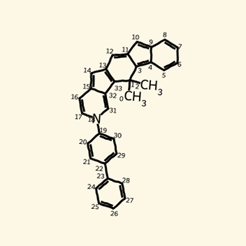 CC1(C)C2=c3ccccc3=CC2=Cc2cc3ccn(-c4ccc(-c5ccccc5)cc4)cc-3c21